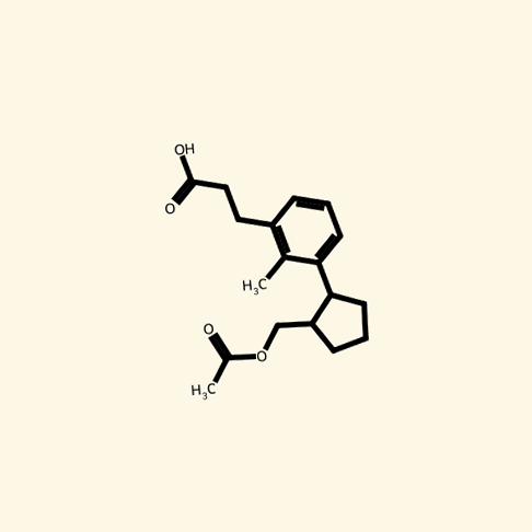 CC(=O)OCC1CCCC1c1cccc(CCC(=O)O)c1C